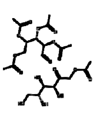 CC(=O)OCC(=O)[C@@H](O)[C@H](O)[C@H](O)CO.CC(=O)OC[C@@H](OC(C)=O)[C@H](OC(C)=O)[C@H](C=O)OC(C)=O